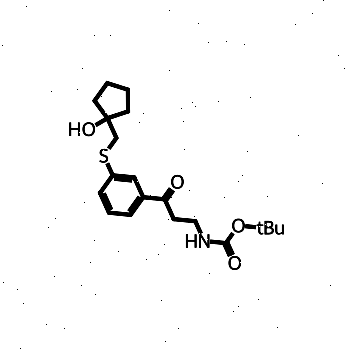 CC(C)(C)OC(=O)NCCC(=O)c1cccc(SCC2(O)CCCC2)c1